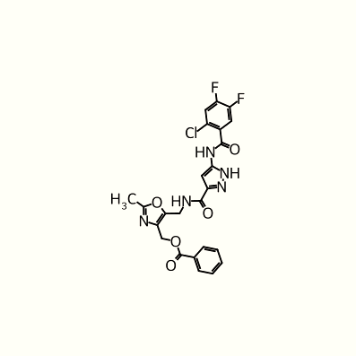 Cc1nc(COC(=O)c2ccccc2)c(CNC(=O)c2cc(NC(=O)c3cc(F)c(F)cc3Cl)[nH]n2)o1